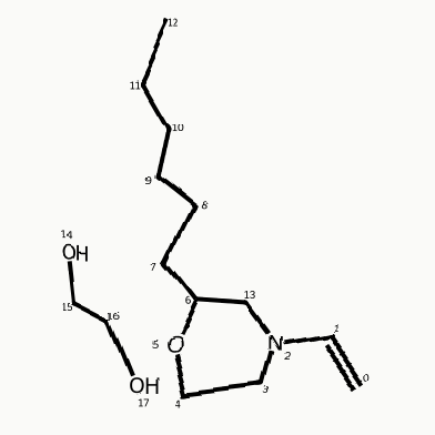 C=CN1CCOC(CCCCCC)C1.OCCO